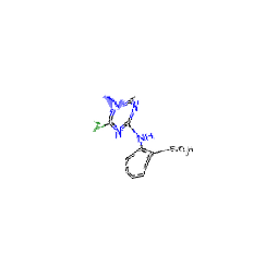 O=S(=O)(O)c1ccccc1Nc1n[c]nc(F)n1